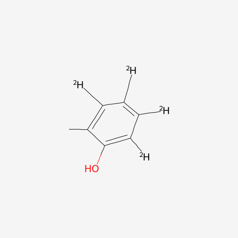 [2H]c1c([2H])c([2H])c(O)c(C)c1[2H]